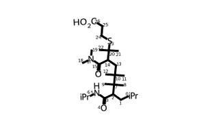 CC(C)CC(C(=O)NC(C)C)C(C)(C)C(C)(C)CC(C(=O)N(C)C)C(C)(C)SCCC(=O)O